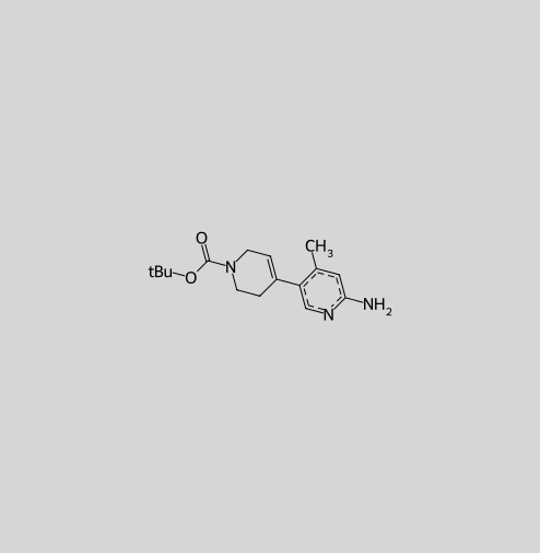 Cc1cc(N)ncc1C1=CCN(C(=O)OC(C)(C)C)CC1